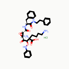 Cl.NCCCC[C@@](N)(C(=O)O)C(ONc1ccccc1)C(=O)[C@H]1O[C@@H]1C(=O)N[C@@H](Cc1ccccc1)C(=O)NCCc1ccccc1